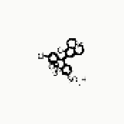 O=S(=O)([O-])c1cc(S(=O)(=O)O)ccc1C1=c2cc3c4c(c2Oc2cc(Cl)ccc21)CCC[N+]=4CCC3